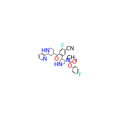 CN(C(=O)Oc1ccc(F)cc1)[C@@H]1CNC[C@H]1c1cc(C#N)c(F)cc1C(=O)C1CCNC(c2ccccn2)C1